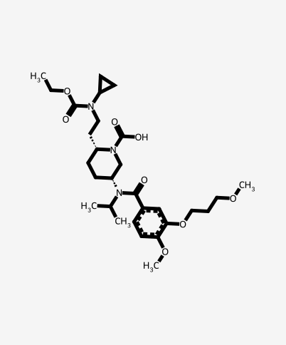 CCOC(=O)N(CC[C@H]1CC[C@@H](N(C(=O)c2ccc(OC)c(OCCCOC)c2)C(C)C)CN1C(=O)O)C1CC1